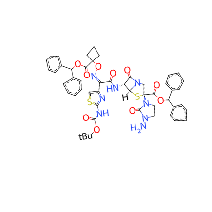 CC(C)(C)OC(=O)Nc1nc(/C(=N/OC2(C(=O)OC(c3ccccc3)c3ccccc3)CCC2)C(=O)N[C@@H]2C(=O)N3C[C@@](C(=O)OC(c4ccccc4)c4ccccc4)(N4CCN(N)C4=O)S[C@@H]23)cs1